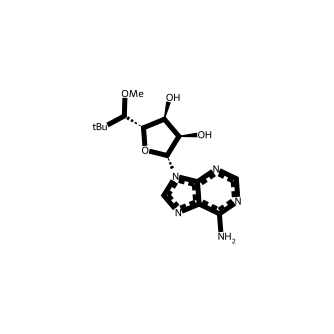 COC([C@H]1O[C@@H](n2cnc3c(N)ncnc32)[C@H](O)[C@@H]1O)C(C)(C)C